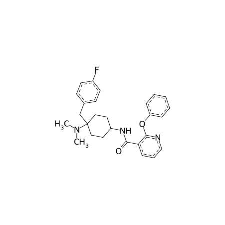 CN(C)C1(Cc2ccc(F)cc2)CCC(NC(=O)c2cccnc2Oc2ccccc2)CC1